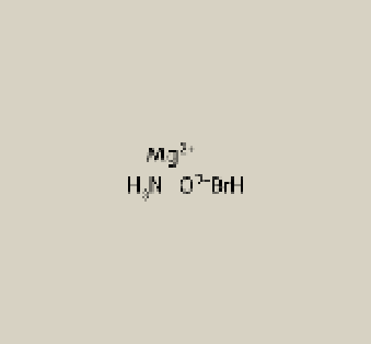 Br.N.[Mg+2].[O-2]